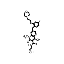 Cn1c(=O)c(C(=O)NCCO)c(O)c2ncc(Cc3ccc(F)cc3OCCN3CCOCC3)cc21